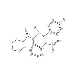 CC(C)CN(C(=O)C1CCCCC1)c1ccccc1[C@H](Oc1ccc(Cl)cc1)C(=O)S